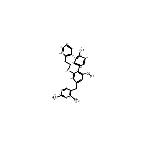 CCOc1cc(Cc2cnc(N)nc2N)cc(OCCc2ccccn2)c1-c1ccc(O)cc1